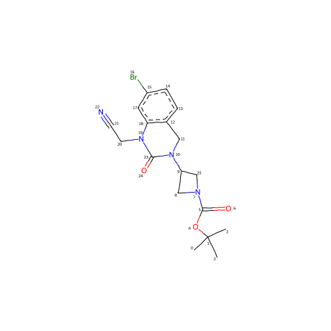 CC(C)(C)OC(=O)N1CC(N2Cc3ccc(Br)cc3N(CC#N)C2=O)C1